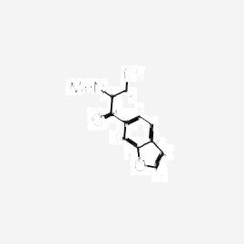 CNC(CF)C(=O)c1ccc2ccoc2c1